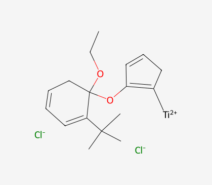 CCOC1(OC2=[C]([Ti+2])CC=C2)CC=CC=C1C(C)(C)C.[Cl-].[Cl-]